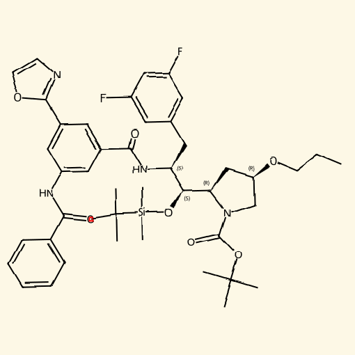 CCCO[C@@H]1C[C@H]([C@@H](O[Si](C)(C)C(C)(C)C)[C@H](Cc2cc(F)cc(F)c2)NC(=O)c2cc(NC(=O)c3ccccc3)cc(-c3ncco3)c2)N(C(=O)OC(C)(C)C)C1